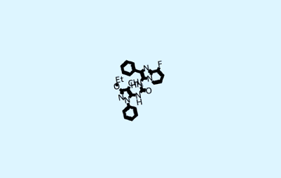 CCOc1nn(-c2ccccc2)c(NC(=O)Nc2c(-c3ccccc3)nc3c(F)cccn23)c1C